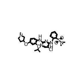 CC(C)Oc1cc(OC2CCN(C)C2)ccc1Nc1ncc(Cl)c(Nc2ccccc2S(=O)(=O)N(C)C)n1